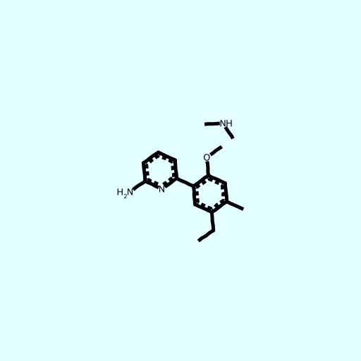 CCc1cc(-c2cccc(N)n2)c(OC)cc1C.CNC